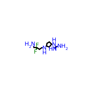 N=C(N)N[C@H]1CC[C@H](NCCC(F)(F)CN)C1